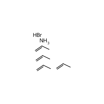 Br.C=CC.C=CC.C=CC.C=CC.N